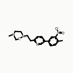 Cc1ccc(-c2ccc(CCN3CCN(C)CC3)nc2)cc1[N+](=O)[O-]